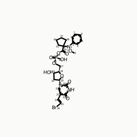 CON(c1ccccc1)C1(C(=O)OP(=O)(O)OC[C@H]2O[C@@H](n3cc(/C=C/Br)c(=O)[nH]c3=O)C[C@@H]2O)CCCC1